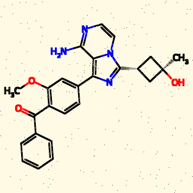 COc1cc(-c2nc([C@H]3C[C@](C)(O)C3)n3ccnc(N)c23)ccc1C(=O)c1ccccc1